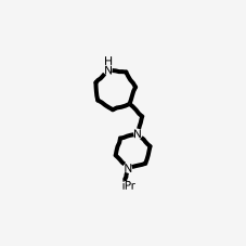 CC(C)N1CCN(CC2CCCNCC2)CC1